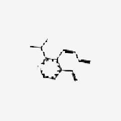 C=C/C=C\c1c(C=C)ccnc1C(C)C